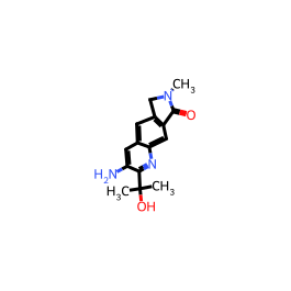 CN1Cc2cc3cc(N)c(C(C)(C)O)nc3cc2C1=O